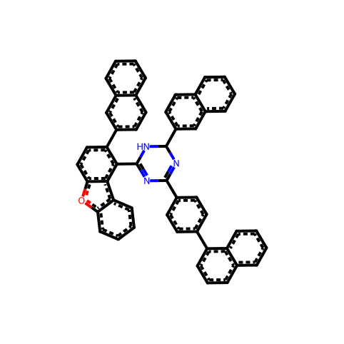 c1ccc2cc(-c3ccc4oc5ccccc5c4c3C3=NC(c4ccc(-c5cccc6ccccc56)cc4)=NC(c4ccc5ccccc5c4)N3)ccc2c1